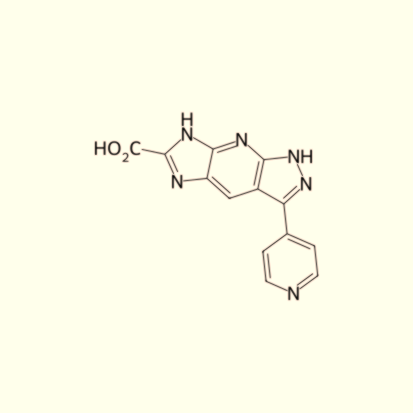 O=C(O)c1nc2cc3c(-c4ccncc4)n[nH]c3nc2[nH]1